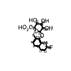 O=C(O)[C@H]1OC(Oc2c(I)ccc3ccc(F)nc23)[C@H](O)[C@@H](O)[C@@H]1O